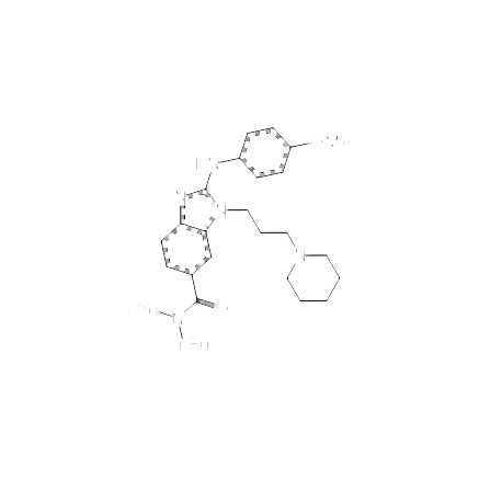 CCCCN(CCCC)C(=O)c1ccc2nc(Nc3ccc(OC)cc3)n(CCCN3CCCCC3)c2c1